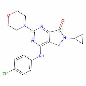 O=C1c2nc(N3CCOCC3)nc(Nc3ccc(Cl)cc3)c2CN1C1CC1